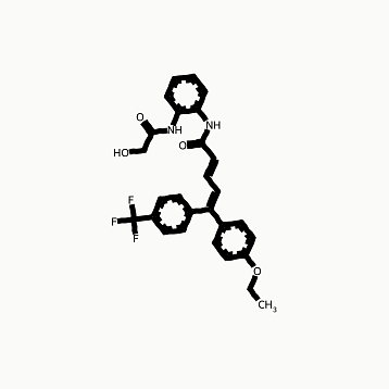 CCOc1ccc(C(=CC=CC(=O)Nc2ccccc2NC(=O)CO)c2ccc(C(F)(F)F)cc2)cc1